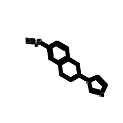 O=C(O)c1ccc2c(c1)CCC(n1ccnc1)C2